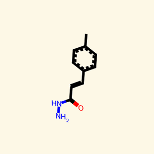 Cc1ccc(C=CC(=O)NN)cc1